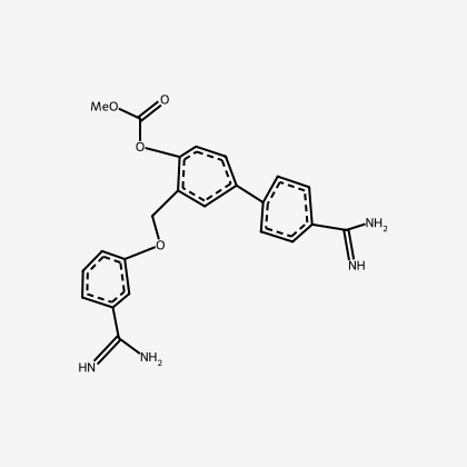 COC(=O)Oc1ccc(-c2ccc(C(=N)N)cc2)cc1COc1cccc(C(=N)N)c1